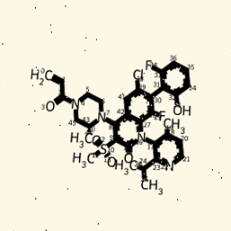 C=CC(=O)N1CCN(c2c(S(C)(=O)=O)c(=O)n(-c3c(C)ccnc3C(C)C)c3c(F)c(-c4c(O)cccc4F)c(Cl)cc23)[C@@H](C)C1